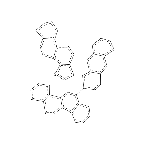 c1ccc2cc3c(-c4csc5c4ccc4c6ccccc6ccc45)c(-c4cc5c6ccccc6ccc5c5ccccc45)ccc3cc2c1